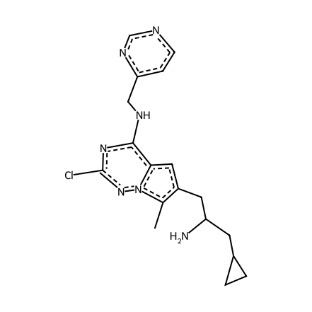 Cc1c(CC(N)CC2CC2)cc2c(NCc3ccncn3)nc(Cl)nn12